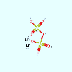 O=S(=O)([O-])OS(=O)(=O)[O-].[Li+].[Li+]